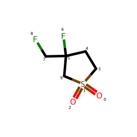 O=S1(=O)CCC(F)(CF)C1